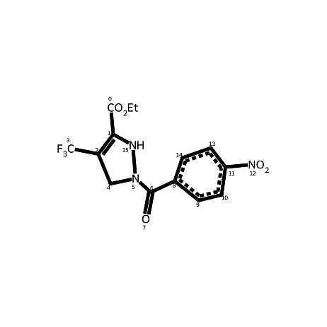 CCOC(=O)C1=C(C(F)(F)F)CN(C(=O)c2ccc([N+](=O)[O-])cc2)N1